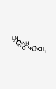 CN1CCN(CCC(=O)Nc2cc(N)ccn2)CC1